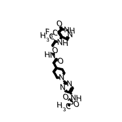 C[C@@H](CONC(=O)CC1CCN(c2ncc(NS(C)(=O)=O)cn2)CC1)Nc1cn[nH]c(=O)c1C(F)(F)F